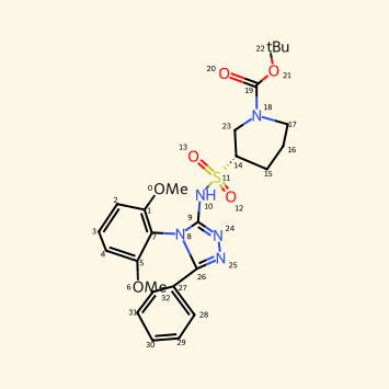 COc1cccc(OC)c1-n1c(NS(=O)(=O)[C@H]2CCCN(C(=O)OC(C)(C)C)C2)nnc1-c1ccccc1